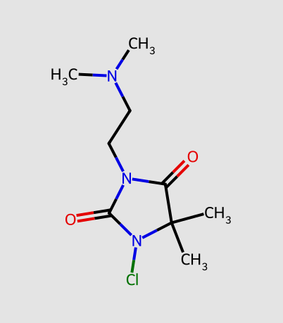 CN(C)CCN1C(=O)N(Cl)C(C)(C)C1=O